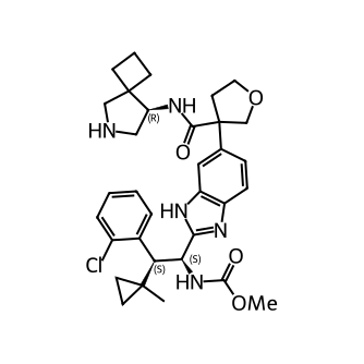 COC(=O)N[C@H](c1nc2ccc(C3(C(=O)N[C@H]4CNCC45CCC5)CCOC3)cc2[nH]1)[C@H](c1ccccc1Cl)C1(C)CC1